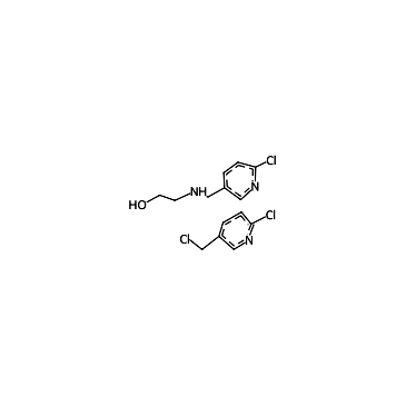 ClCc1ccc(Cl)nc1.OCCNCc1ccc(Cl)nc1